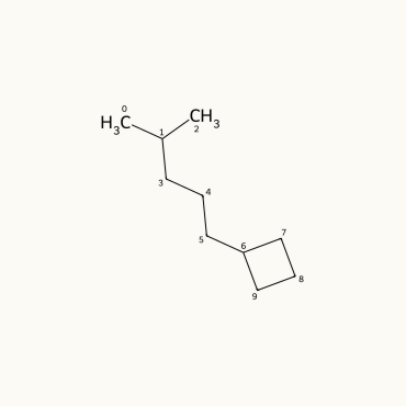 CC(C)CCCC1CCC1